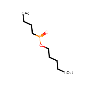 CCCCCCCCCCCCO[PH](=O)CCCOC(C)=O